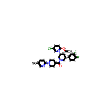 C=C(Oc1ccc(Cl)cn1)[C@H]1CCN(C(=O)C2CCN(c3ccc(C#N)cn3)CC2)C[C@@H]1c1ccc(F)c(F)c1